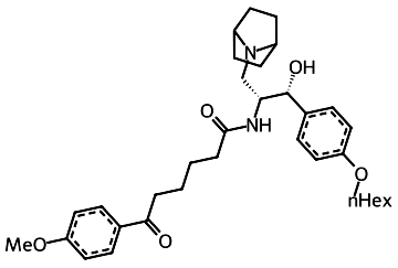 CCCCCCOc1ccc([C@@H](O)[C@@H](CN2C3CCC2CC3)NC(=O)CCCCC(=O)c2ccc(OC)cc2)cc1